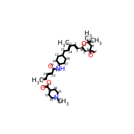 CC(C=C[C@@H]1C[C@]2(CO2)CC(C)(C)O1)=CCC1CCC(NC(=O)C=CC(C)OC(=O)C2CCN(C)CC2)CC1